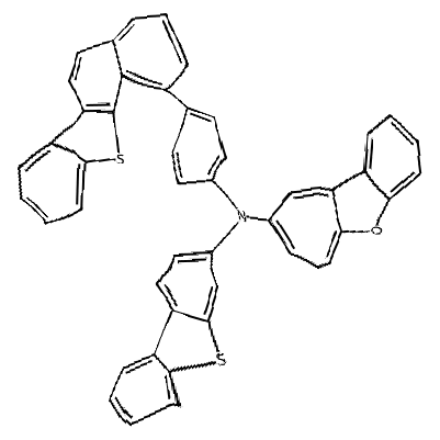 c1cc(-c2ccc(N(c3ccc4c(c3)sc3ccccc34)c3ccc4oc5ccccc5c4c3)cc2)c2c(c1)ccc1c3ccccc3sc12